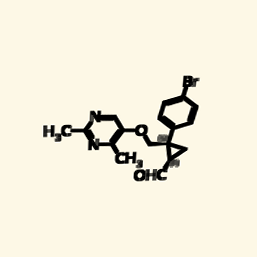 Cc1ncc(OC[C@@]2(c3ccc(Br)cc3)C[C@H]2C=O)c(C)n1